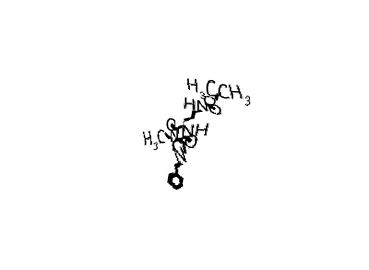 CCCN1C(=O)[C@H](CCCCNC(=O)OCC(C)C)NC(=O)C12CCN(CCc1ccccc1)CC2